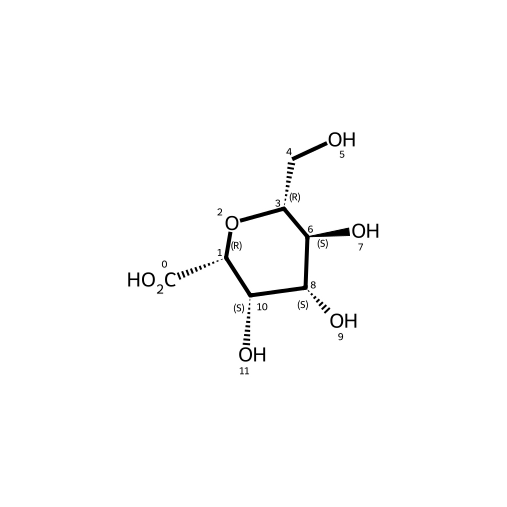 O=C(O)[C@@H]1O[C@H](CO)[C@@H](O)[C@H](O)[C@@H]1O